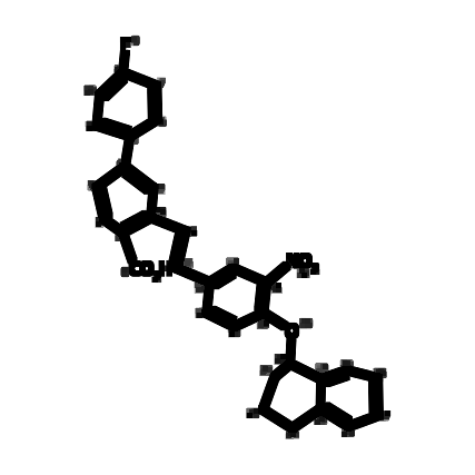 O=C(O)c1ccc(-c2ccc(F)cc2)cc1/C=C/c1ccc(OC2CCCc3ccccc32)c([N+](=O)[O-])c1